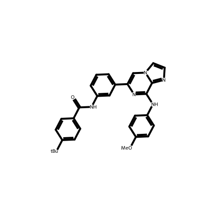 COc1ccc(Nc2nc(-c3cccc(NC(=O)c4ccc(C(C)(C)C)cc4)c3)cn3ccnc23)cc1